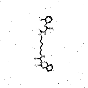 N=C(NCCCCCCNC(=N)NC(N)=Nc1ccccc1Cl)NC(N)=Nc1ccccc1Cl